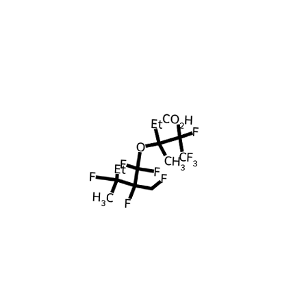 CCC(C)(F)C(F)(CF)C(F)(F)OC(C)(CC)C(F)(C(=O)O)C(F)(F)F